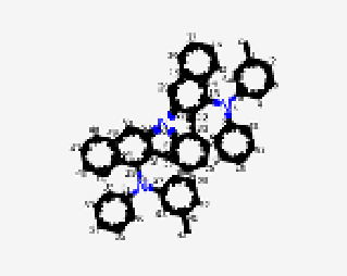 Cc1cccc(N(c2ccccc2)c2c3ccccc3cc3c2c2cccc4c5c(N(c6ccccc6)c6cccc(C)c6)c6ccccc6cc5n3c24)c1